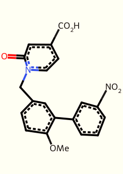 COc1ccc(Cn2ccc(C(=O)O)cc2=O)cc1-c1cccc([N+](=O)[O-])c1